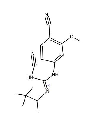 COc1cc(N/C(=N/C(C)C(C)(C)C)NC#N)ccc1C#N